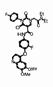 CCN(CC)C(=O)Cn1cc(C(=O)Nc2ccc(Oc3ccnc4cc(OC)c(OC)cc34)c(F)c2)c(=O)n(-c2ccc(F)cc2)c1=O